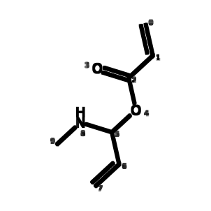 C=CC(=O)OC(C=C)NC